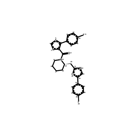 O=C(c1ncsc1-c1ccc(F)cc1)N1CCCC[C@H]1Cc1ncc(-c2ccc(F)cc2)o1